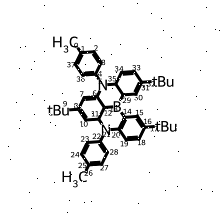 Cc1ccc(N2C3=CC(C(C)(C)C)=CC4C3B(c3cc(C(C)(C)C)ccc3N4c3ccc(C)cc3)C3C=C(C(C)(C)C)C=CC32)cc1